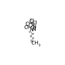 CCCCCCn1nnc(C(Cl)(Cl)Cl)c1Cl